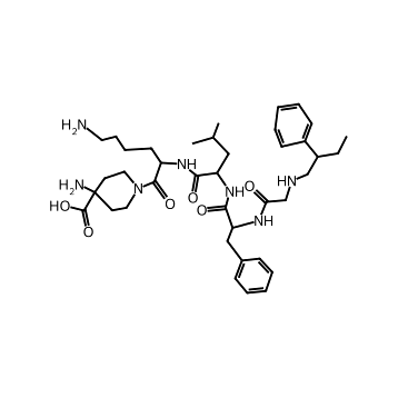 CCC(CNCC(=O)NC(Cc1ccccc1)C(=O)NC(CC(C)C)C(=O)NC(CCCCN)C(=O)N1CCC(N)(C(=O)O)CC1)c1ccccc1